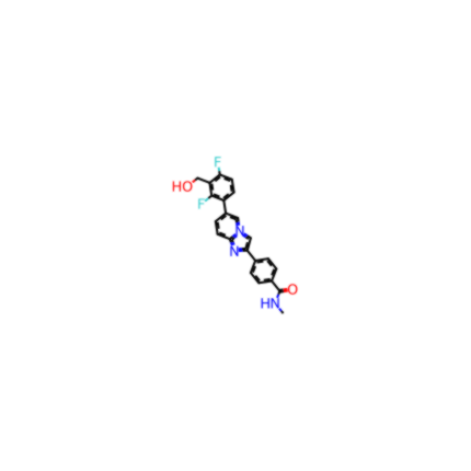 CNC(=O)c1ccc(-c2cn3cc(-c4ccc(F)c(CO)c4F)ccc3n2)cc1